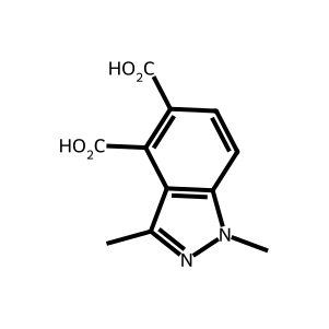 Cc1nn(C)c2ccc(C(=O)O)c(C(=O)O)c12